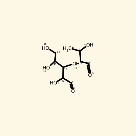 CC(O)CC=O.O=CC(O)C(O)C(O)CO